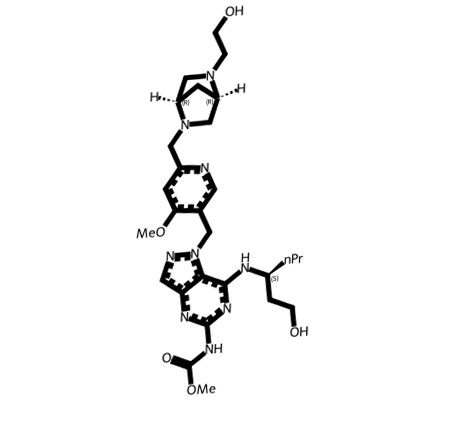 CCC[C@@H](CCO)Nc1nc(NC(=O)OC)nc2cnn(Cc3cnc(CN4C[C@H]5C[C@@H]4CN5CCO)cc3OC)c12